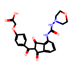 O=C(O)COc1ccc(C(=O)C2C(=O)c3cccc(NC(=O)NN4CCOCC4)c3C2=O)cc1